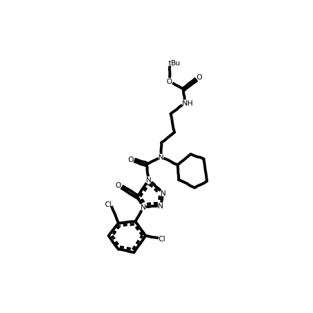 CC(C)(C)OC(=O)NCCCN(C(=O)n1nnn(-c2c(Cl)cccc2Cl)c1=O)C1CCCCC1